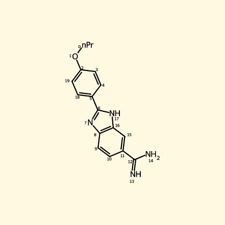 CCCOc1ccc(-c2nc3ccc(C(=N)N)cc3[nH]2)cc1